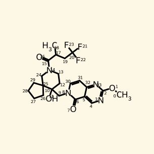 COc1ncc2c(=O)n(CC3(O)CCN(C(=O)C(C)CC(F)(F)F)CC34CCCC4)ccc2n1